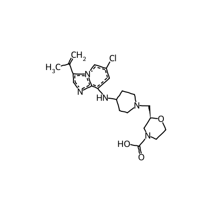 C=C(C)c1cnc2c(NC3CCN(C[C@@H]4CN(C(=O)O)CCO4)CC3)cc(Cl)cn12